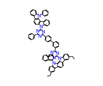 CCc1ccc2c(c1)c1ccc3c4cc(CC)ccc4n(-c4nc(-c5ccccc5)nc(-c5cccc(-c6ccc(-c7nc(-c8ccccc8)nc(-n8c9ccccc9c9c8ccc8c%10ccccc%10n(-c%10ccccc%10)c89)n7)cc6)c5)n4)c3c1n2-c1ccccc1